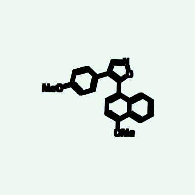 COc1ccc(-c2cnoc2-c2ccc(OC)c3ccccc23)cc1